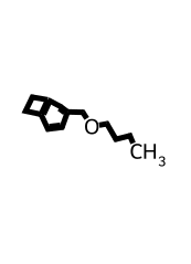 CCCCOCc1ccc2c(c1)CC2